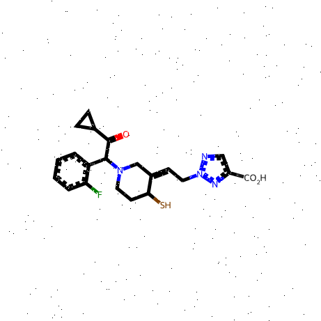 O=C(O)c1cnn(CC=C2CN(C(C(=O)C3CC3)c3ccccc3F)CCC2S)n1